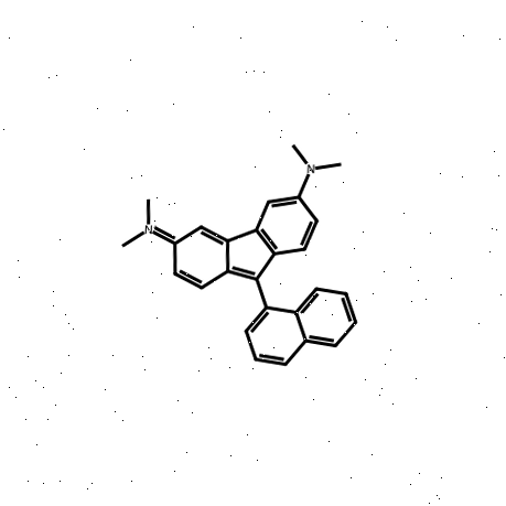 CN(C)c1ccc2c(c1)C1=CC(=[N+](C)C)C=CC1=C2c1cccc2ccccc12